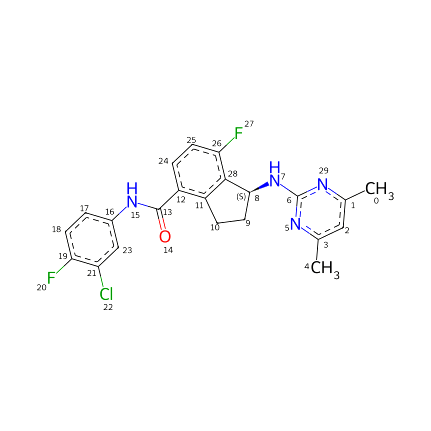 Cc1cc(C)nc(N[C@H]2CCc3c(C(=O)Nc4ccc(F)c(Cl)c4)ccc(F)c32)n1